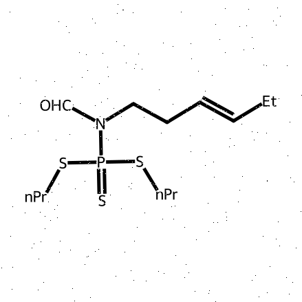 CCC=CCCN(C=O)P(=S)(SCCC)SCCC